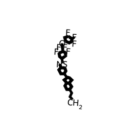 C=CCCc1ccc2cc(-c3ccc4nc(-c5cc(F)c(C(F)(F)Oc6cc(F)c(F)c(F)c6)c(F)c5)sc4c3)ccc2c1